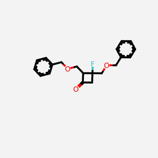 O=C1CC(F)(COCc2ccccc2)C1COCc1ccccc1